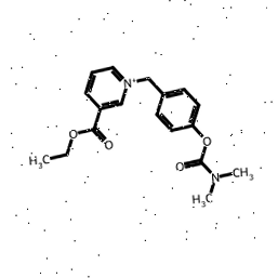 CCOC(=O)c1ccc[n+](Cc2ccc(OC(=O)N(C)C)cc2)c1